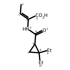 C/C=C(/NC(=O)C1CC1(CC)CC)C(=O)O